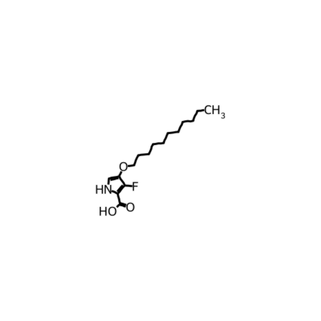 CCCCCCCCCCCOc1c[nH]c(C(=O)O)c1F